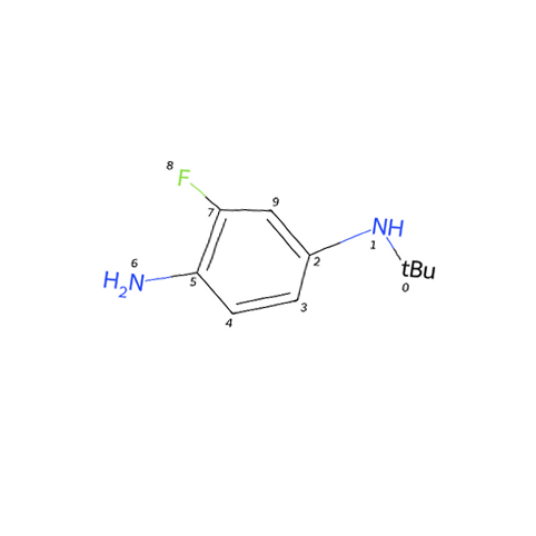 CC(C)(C)Nc1ccc(N)c(F)c1